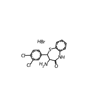 Br.NC1C(=O)Nc2ccccc2SC1c1ccc(Cl)c(Cl)c1